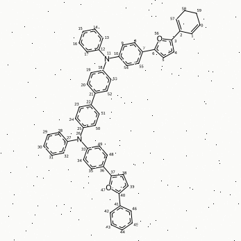 C1=CC(c2ccc(-c3ccc(N(c4ccccc4)c4ccc(-c5ccc(N(c6ccccc6)c6ccc(-c7ccc(-c8ccccc8)o7)cc6)cc5)cc4)cc3)o2)=CCC1